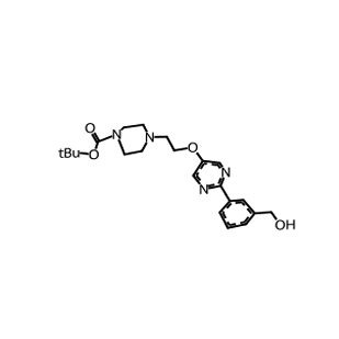 CC(C)(C)OC(=O)N1CCN(CCOc2cnc(-c3cccc(CO)c3)nc2)CC1